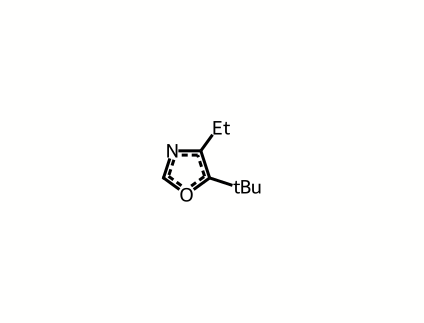 CCc1ncoc1C(C)(C)C